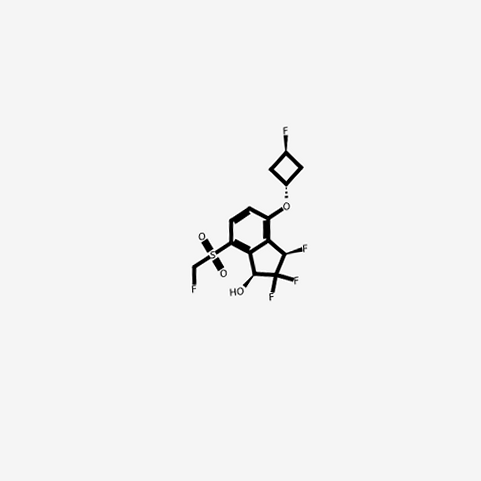 O=S(=O)(CF)c1ccc(O[C@H]2C[C@H](F)C2)c2c1[C@H](O)C(F)(F)[C@@H]2F